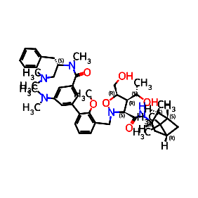 COc1c(CN2O[C@@H](CO)[C@@H]([C@H](C)O)[C@H]2C(=O)N[C@H]2C[C@H]3C[C@@H]([C@@H]2C)C3(C)C)cccc1-c1cc(C(=O)N(C)[C@@H](Cc2ccccc2)CN(C)C)cc(N(C)C)c1